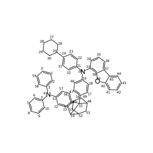 c1ccc(N(c2ccccc2)c2ccc(C3(c4ccc(N(c5ccc(C6CCCCC6)cc5)c5cccc6c5oc5ccccc56)cc4)C4CC5CC(C4)C3C5)cc2)cc1